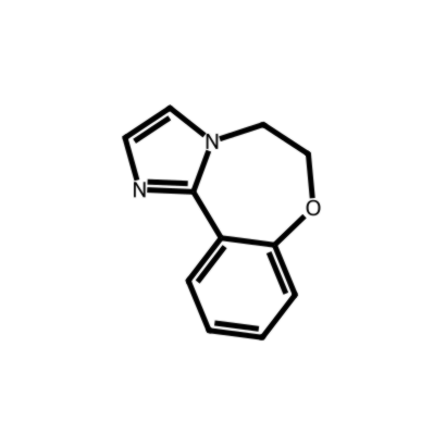 c1ccc2c(c1)OCCn1ccnc1-2